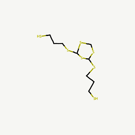 SCCCSC1SCSC(SCCCS)S1